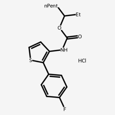 CCCCCC(CC)OC(=O)Nc1ccsc1-c1ccc(F)cc1.Cl